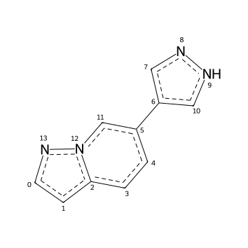 c1cc2ccc(-c3cn[nH]c3)cn2n1